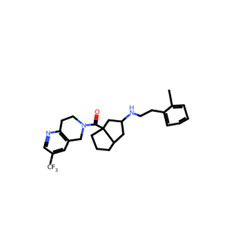 Cc1ccccc1CCNC1CC2CCCC2(C(=O)N2CCc3ncc(C(F)(F)F)cc3C2)C1